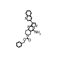 Nc1c2c(nc3c(-c4cnc5ccccc5c4)cnn13)CCN(C(=O)OCc1ccccc1)C2